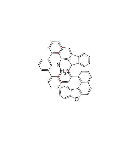 CC12c3ccccc3-c3cccc(c31)N(c1c(-c3ccccc3)cccc1-c1ccccc1)c1cccc(-c3cccc4ccc5oc6ccccc6c5c34)c12